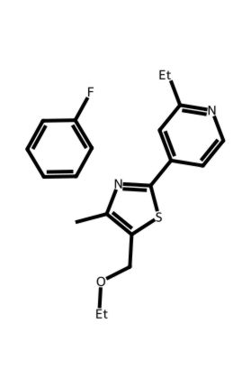 CCOCc1sc(-c2ccnc(CC)c2)nc1C.Fc1ccccc1